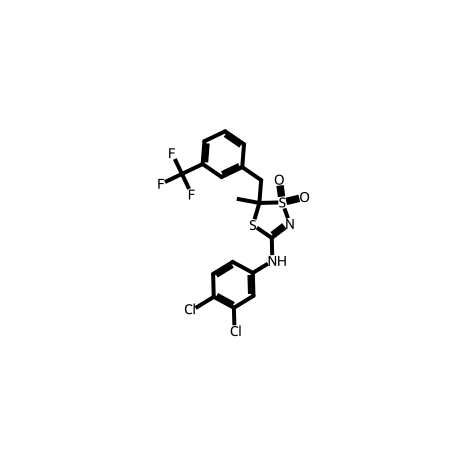 CC1(Cc2cccc(C(F)(F)F)c2)SC(Nc2ccc(Cl)c(Cl)c2)=NS1(=O)=O